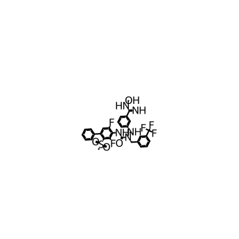 CS(=O)(=O)c1c(-c2ccccc2)cc(F)c(NC(=O)N(Cc2cccc(C(F)(F)F)c2)Nc2cccc(C(=N)NO)c2)c1F